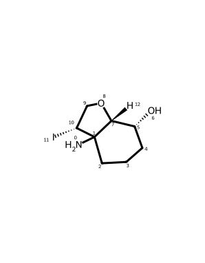 NC12CCC[C@@H](O)[C@H]1OC[C@H]2I